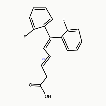 O=C(O)C/C=C/C=C(c1ccccc1F)c1ccccc1F